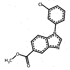 COC(=O)c1ccc2c(c1)ncn2-c1cccc(Cl)c1